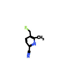 Cc1nc(C#N)ccc1CF